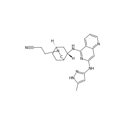 Cc1cc(Nc2cc3ncccc3c(N[C@H]3C[C@@H]4CCC3CN4CCC#N)n2)n[nH]1